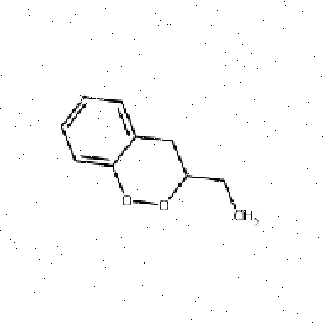 [CH2]CC1Cc2ccccc2OO1